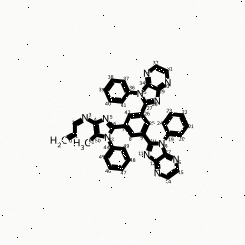 C=C/C=N\c1nc(-c2cc(-c3nc4nccnc4n3-c3ccccc3)cc(-c3nc4nccnc4n3-c3ccccc3)c2)n(-c2ccccc2)c1C